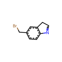 BrCc1ccc2c(c1)CC=N2